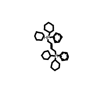 C(=CC[PH](c1ccccc1)(C1CCCCC1)C1CCCCC1)C[PH](c1ccccc1)(C1CCCCC1)C1CCCCC1